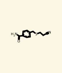 N#C[CH]CSCc1ccc(C(N)=O)cc1